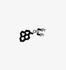 CC(C)C[Si](CC(C)C)OCc1ccc2ccc3cccc4ccc1c2c34